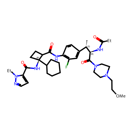 CCC(=O)N[C@@H](C(=O)N1CCN(CCOC)CC1)[C@@H](C)c1ccc(NC(=O)C2CC[C@@]2(NC(=O)c2ccnn2CC)C2CCCCC2)c(F)c1